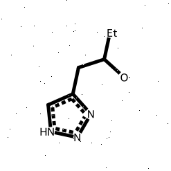 CCC([O])Cc1c[nH]nn1